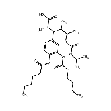 CCCCCC(=O)Oc1ccc(C(C(C)C(C)OC(=O)OC(C)C)[C@H](N)C(=O)O)cc1OC(=O)CCCCC